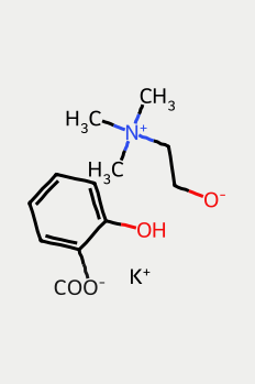 C[N+](C)(C)CC[O-].O=C([O-])c1ccccc1O.[K+]